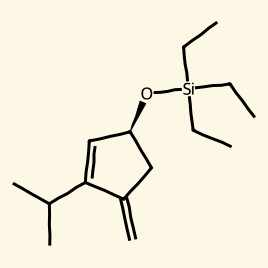 C=C1C[C@H](O[Si](CC)(CC)CC)C=C1C(C)C